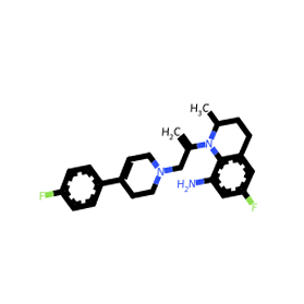 C=C(CN1CC=C(c2ccc(F)cc2)CC1)N1c2c(N)cc(F)cc2CCC1C